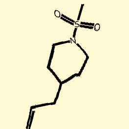 C=CCC1CCN(S(C)(=O)=O)CC1